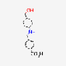 O=C(O)c1ccc(CN[C@H]2CC[C@H](CO)CC2)cc1